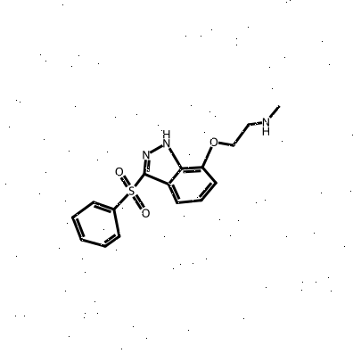 CNCCOc1cccc2c(S(=O)(=O)c3ccccc3)n[nH]c12